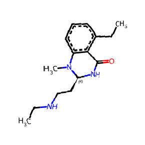 CCNCC[C@@H]1NC(=O)c2c(CC)cccc2N1C